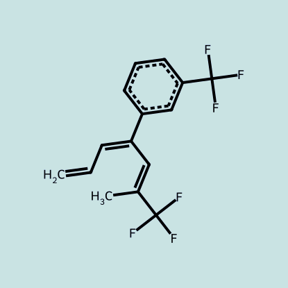 C=C/C=C(\C=C(/C)C(F)(F)F)c1cccc(C(F)(F)F)c1